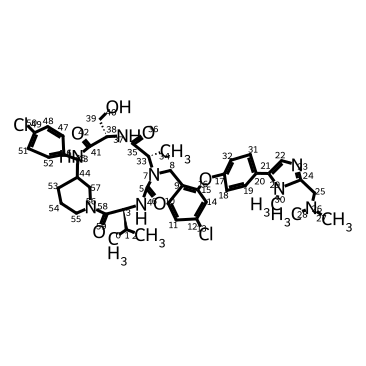 CC(C)[C@@H]1NC(=O)N(Cc2ccc(Cl)cc2Oc2ccc(-c3cnc(CN(C)C)n3C)cc2)[C@@H](C)C(=O)N[C@@H](CO)C(=O)N[C@@]2(Cc3ccc(Cl)cc3)CCCN(C2)C1=O